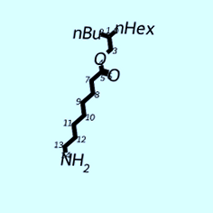 CCCCCCC(CCCC)COC(=O)CCCCCCCN